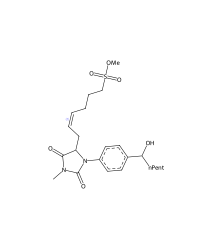 CCCCCC(O)c1ccc(N2C(=O)N(C)C(=O)C2C/C=C\CCCS(=O)(=O)OC)cc1